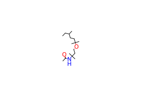 CCC(C)CCC(C)(C)OCCC(C)(C)NC(C)=O